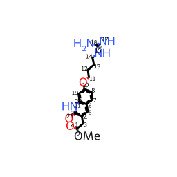 COC(=O)Cc1cc2ccc(OCCCCNC(=N)N)cc2[nH]c1=O